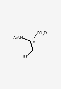 CCOC(=O)[C@H](CC(C)C)NC(C)=O